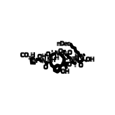 CCCCCCCCCCCCCCCC(=O)N(C)[C@H](CO)C(=O)N[C@H](C)C(=O)NCC(=O)N(C)[C@@H]1C(=O)N[C@@H](C)C(=O)N[C@H](C(=O)NCC(=O)N2CCC[C@H]2C(=O)O)Cc2ccc(O)c(c2)-c2cc1ccc2C